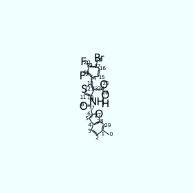 Cc1ccc2cc(C(=O)Nc3csc(-c4ccc(Br)c(F)c4F)c3C(=O)O)oc2c1